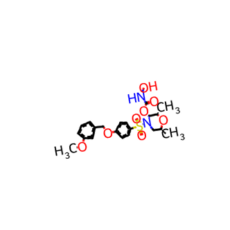 COc1cccc(COc2ccc(S(=O)(=O)N3C[C@H](C)O[C@@H](C)[C@H]3OC(=O)NO)cc2)c1